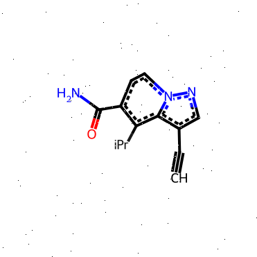 C#Cc1cnn2ccc(C(N)=O)c(C(C)C)c12